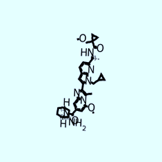 COCC1(C(=O)N[C@H](C)c2ccc3cc(-c4nc5cc(C(=O)N6[C@H]7CC[C@@H]6[C@H](N)C7)cc(OC)n5c4C)n(CC4CC4)c3n2)CC1